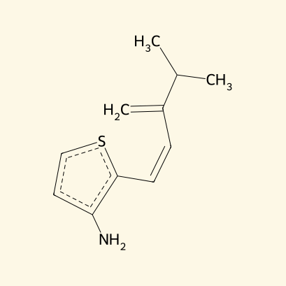 C=C(/C=C\c1sccc1N)C(C)C